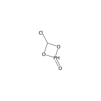 O=[PH]1OC(Cl)O1